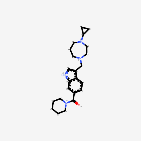 O=C(c1ccc2c(CN3CCCN(C4CC4)CC3)c[nH]c2c1)N1CCCCC1